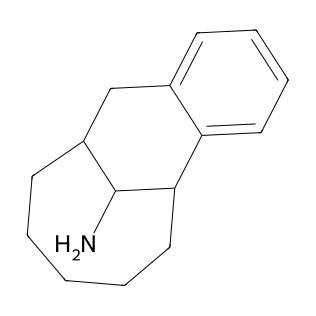 NC1C2CCCCCC1c1ccccc1C2